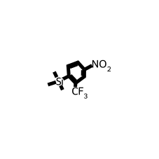 C[Si](C)(C)c1ccc([N+](=O)[O-])cc1C(F)(F)F